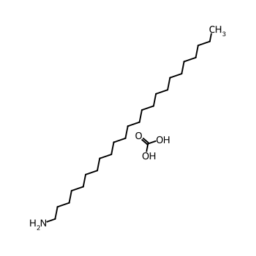 CCCCCCCCCCCCCCCCCCCCCCCCN.O=C(O)O